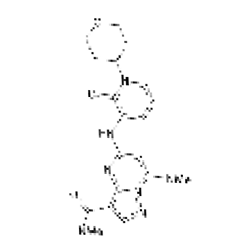 CNC(=O)c1cnn2c(NC)cc(Nc3cccn(C4CCOCC4)c3=O)nc12